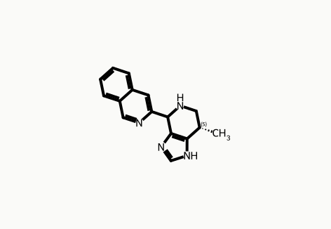 C[C@H]1CNC(c2cc3ccccc3cn2)c2nc[nH]c21